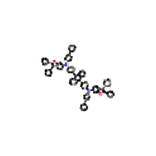 c1ccc(-c2ccc(N(c3ccc(-c4c5ccccc5c(-c5ccc(N(c6ccc(-c7ccccc7)cc6)c6ccc7c(-c8ccccc8)c(-c8ccccc8)oc7c6)cc5)c5ccccc45)cc3)c3ccc4c(-c5ccccc5)c(-c5ccccc5)oc4c3)cc2)cc1